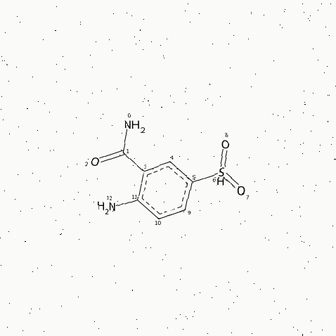 NC(=O)c1cc([SH](=O)=O)ccc1N